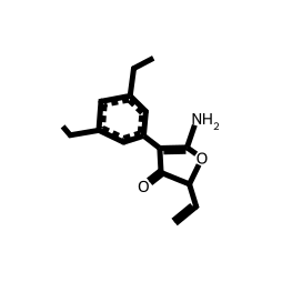 C=CC1OC(N)=C(c2cc(CC)cc(CC)c2)C1=O